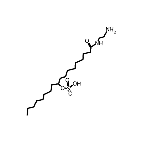 CCCCCCCCC(CCCCCCCCC(=O)NCCN)OS(=O)(=O)O